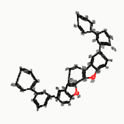 c1ccc(-c2cccc(-c3ccc4oc5c(ccc6c7cc(-c8cccc(-c9ccccc9)c8)ccc7oc65)c4c3)c2)cc1